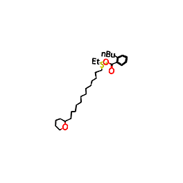 CCCCc1ccccc1C(=O)O[S+](CC)CCCCCCCCCCCCCC1CCCCO1